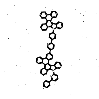 c1ccc(-c2cccc(-n3c4ccccc4c4c5c6ccc(-c7ccc(-c8ccc(-n9c%10ccccc%10c%10c%11c%12ccccc%12c%12ccccc%12c%11c%11ccccc%11c%109)cc8)nc7)cc6c6ccccc6c5c5ccccc5c43)n2)cc1